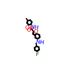 Cc1ccc(NC(=O)c2cc3cc(NCc4ccc(F)cc4)ccc3o2)c(O)c1